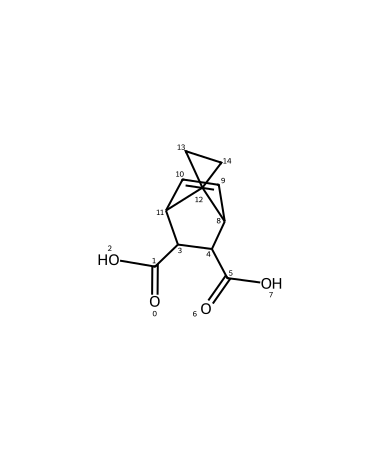 O=C(O)C1C(C(=O)O)C2C=CC1C21CC1